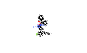 COc1ccc(F)cc1-c1ccc2c(NC(=O)C(c3ccccc3)c3ccccc3)n[nH]c2c1